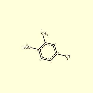 Cc1cc(C#N)ccc1OCC(C)C